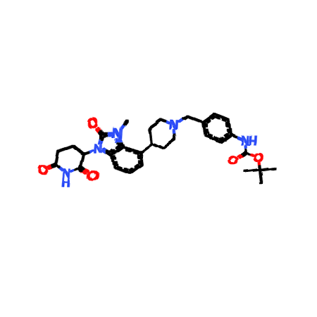 Cn1c(=O)n(C2CCC(=O)NC2=O)c2cccc(C3CCN(Cc4ccc(NC(=O)OC(C)(C)C)cc4)CC3)c21